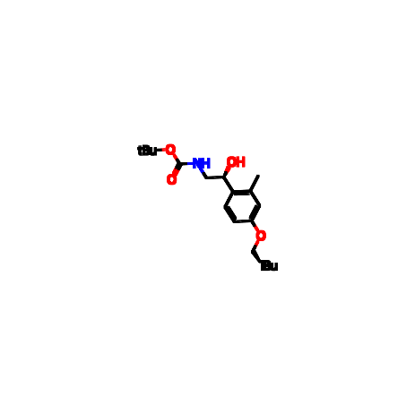 CC[C@H](C)COc1ccc([C@H](O)CNC(=O)OC(C)(C)C)c(C)c1